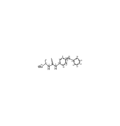 CC(NC(=S)Nc1ccc(Nc2ccccc2)nc1)C(C)(C)C